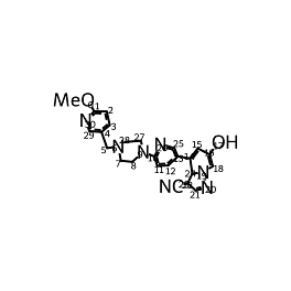 COc1ccc(CN2CCN(c3ccc(C4=CC(O)=CN5N=CC(C#N)C45)cn3)CC2)cn1